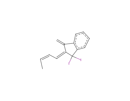 C=C1/C(=C\C=C/C)C(I)(I)c2ccccc21